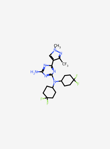 Cn1cc(-c2nc(N)nc(N(C3CCC(F)(F)CC3)C3CCC(F)(F)CC3)n2)c(C(F)(F)F)n1